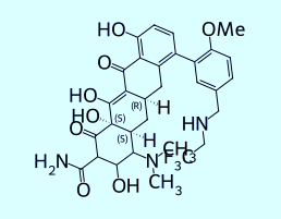 COc1ccc(CNCC(F)(F)F)cc1-c1ccc(O)c2c1C[C@H]1C[C@H]3C(N(C)C)C(O)C(C(N)=O)C(=O)[C@@]3(O)C(O)=C1C2=O